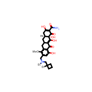 CCN(Cc1cc(O)c2c(c1OC)CC1C[C@H]3CC(O)=C(C(N)=O)C(=O)[C@@]3(O)C(O)=C1C2=O)CC1(CC)CCC1